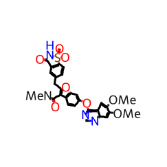 CNC(=O)c1c(Cc2ccc3c(c2)C(=O)NS3(=O)=O)oc2cc(Oc3ncnc4cc(OC)c(OC)cc34)ccc12